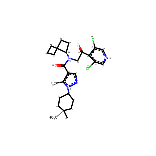 C[C@]1(C(=O)O)CC[C@H](n2ncc(C(=O)N(CC(=O)c3c(Cl)cncc3Cl)[C@@H]3CCC34CCC4)c2C(F)(F)F)CC1